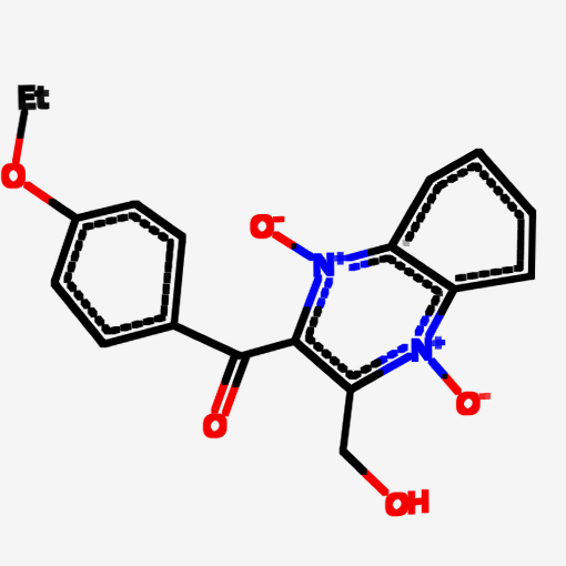 CCOc1ccc(C(=O)c2c(CO)[n+]([O-])c3ccccc3[n+]2[O-])cc1